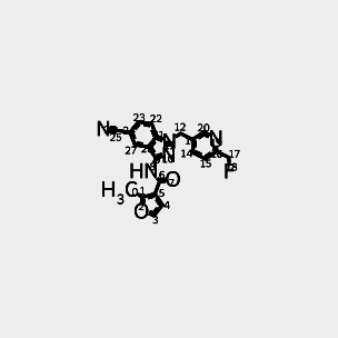 Cc1occc1C(=O)Nc1nn(Cc2ccc(CF)nc2)c2ccc(C#N)cc12